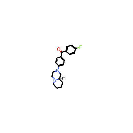 O=C(c1ccc(F)cc1)c1ccc(N2CCN3CCCC[C@@H]3C2)cc1